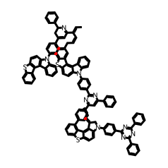 C=C/C=C1\CN(c2ccc(-c3nc(-c4ccccc4)nc(-c4ccccc4)n3)cc2)c2ccc3sc4cccc(-c5ccc(-c6cc(-c7ccccc7)nc(-c7ccc(-n8c9ccccc9c9c%10c(ccc98)sc8ccc(C/C=C\C(=C/C)C9=NC(c%11ccccc%11)CC(c%11ccc(-n%12c%13ccccc%13c%13c%14c(ccc%13%12)sc%12ccccc%12%14)cc%11)=C9)cc8%10)cc7)n6)cc5)c4c3c21